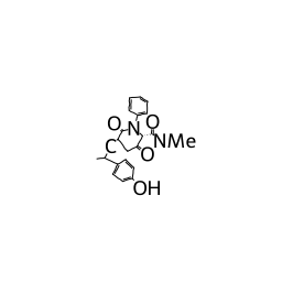 CNC(=O)[C@@H]1C(=O)C[C@@H](CC(C)c2ccc(O)cc2)C(=O)N1c1ccccc1